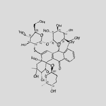 C[C@@H]1O[C@@H](OC23C(=O)C(O)C(C)(O)CC2(O)C(S[C@H]2[C@@H](O[C@H]4O[C@H](CO)[C@@H](O)[C@H](O)[C@H]4O)O[C@H](CO)[C@@H](O)[C@@H]2O)=CC2=C3C(=O)c3cccc(O)c3C2=O)CC[C@@H]1O